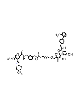 COc1cnc(C(=O)NCc2cccc(CC(=O)NCCOCCOCC(=O)N[C@H](C(=O)N3C[C@H](O)C[C@H]3C(=O)NCc3ccc(-c4sccc4C)cc3)C(C)(C)C)c2)cc1/C=C/[C@H]1CC[C@H](C(F)(F)F)CC1